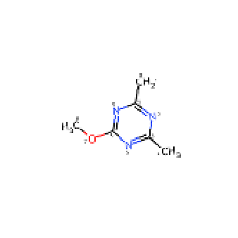 [CH2]c1nc(C)nc(OC)n1